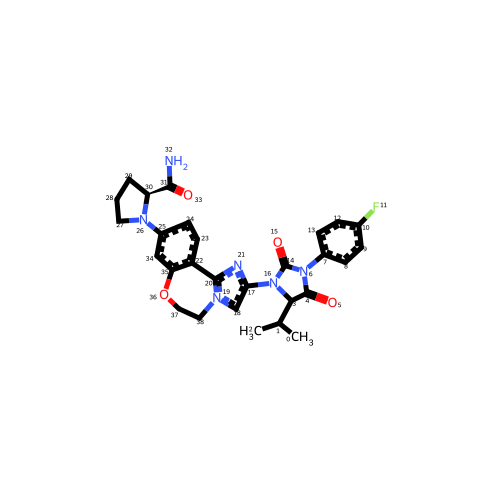 CC(C)C1C(=O)N(c2ccc(F)cc2)C(=O)N1c1cn2c(n1)-c1ccc(N3CCC[C@H]3C(N)=O)cc1OCC2